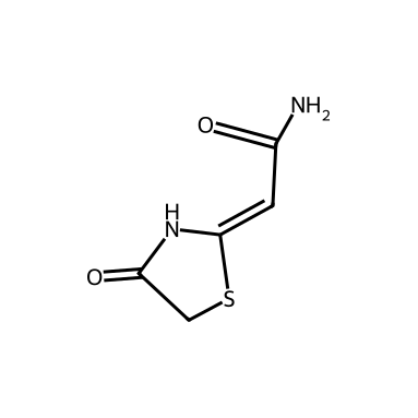 NC(=O)/C=C1\NC(=O)CS1